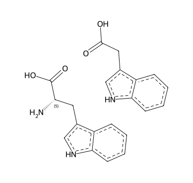 N[C@@H](Cc1c[nH]c2ccccc12)C(=O)O.O=C(O)Cc1c[nH]c2ccccc12